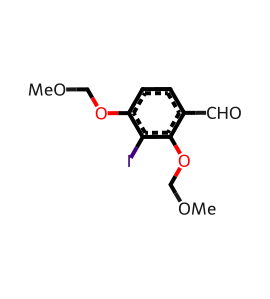 COCOc1ccc(C=O)c(OCOC)c1I